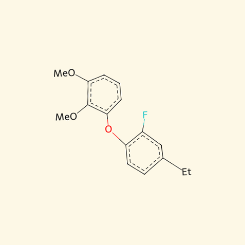 CCc1ccc(Oc2cccc(OC)c2OC)c(F)c1